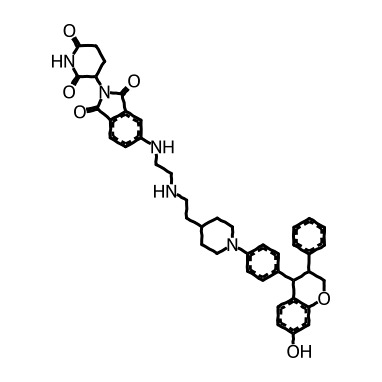 O=C1CCC(N2C(=O)c3ccc(NCCNCCC4CCN(c5ccc(C6c7ccc(O)cc7OCC6c6ccccc6)cc5)CC4)cc3C2=O)C(=O)N1